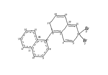 BrC1(Br)C=CC2=C(c3cccc4ccccc34)CC=CC2=C1